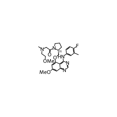 COCCN(C)CC(=O)N1CCC[C@H]1COc1cc(OC)cc2ncnc(Nc3ccc(F)c(C)c3)c12